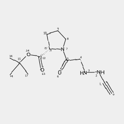 C#CNNCC(=O)N1CCC[C@H]1C(=O)OC(C)(C)C